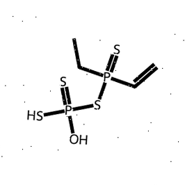 C=CP(=S)(CC)SP(O)(=S)S